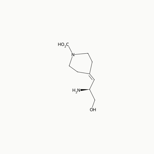 N[C@@H](C=C1CCN(C(=O)O)CC1)CO